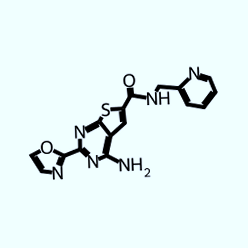 Nc1nc(-c2ncco2)nc2sc(C(=O)NCc3ccccn3)cc12